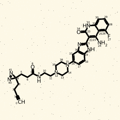 C#CCCC1(CCC(=O)NCCN2CCN(c3ccc4[nH]c(-c5c(N)c6c(F)cccc6[nH]c5=O)nc4c3)CC2)N=N1